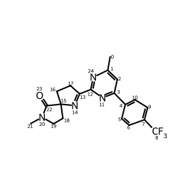 Cc1cc(-c2ccc(C(F)(F)F)cc2)nc(C2=NC3(CC2)CCN(C)C3=O)n1